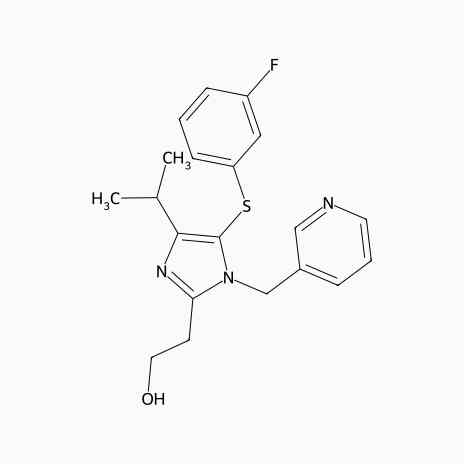 CC(C)c1nc(CCO)n(Cc2cccnc2)c1Sc1cccc(F)c1